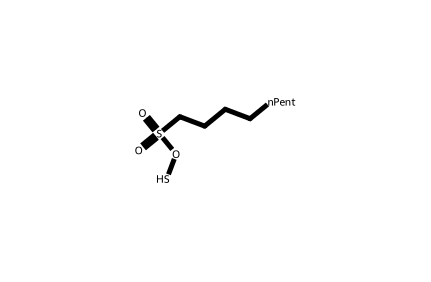 CCCCCCCCCS(=O)(=O)OS